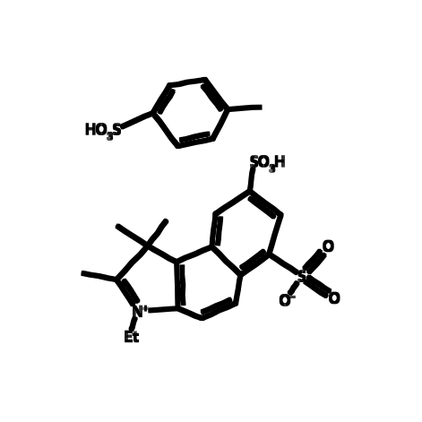 CC[N+]1=C(C)C(C)(C)c2c1ccc1c(S(=O)(=O)[O-])cc(S(=O)(=O)O)cc21.Cc1ccc(S(=O)(=O)O)cc1